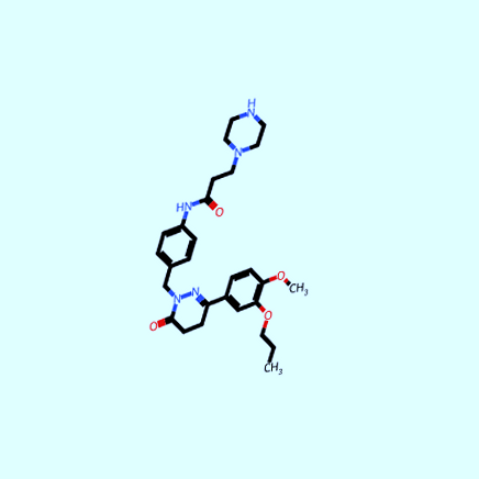 CCCOc1cc(C2=NN(Cc3ccc(NC(=O)CCN4CCNCC4)cc3)C(=O)CC2)ccc1OC